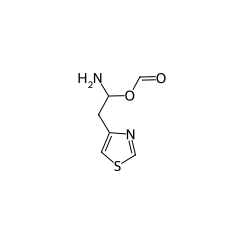 NC(Cc1cscn1)OC=O